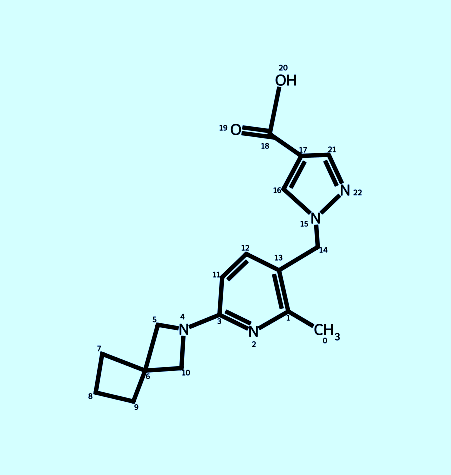 Cc1nc(N2CC3(CCC3)C2)ccc1Cn1cc(C(=O)O)cn1